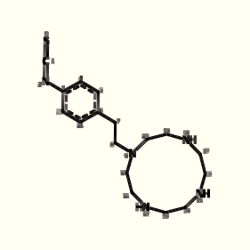 S=C=Nc1ccc(CCN2CCNCCNCCNCC2)cc1